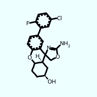 NC1=NC2(CO1)c1cc(-c3cc(Cl)ccc3F)ccc1OC1CC[C@H](O)C[C@@H]12